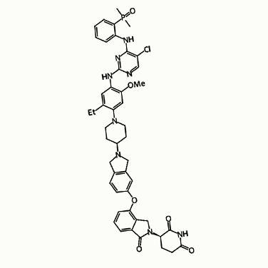 CCc1cc(Nc2ncc(Cl)c(Nc3ccccc3P(C)(C)=O)n2)c(OC)cc1N1CCC(N2Cc3ccc(Oc4cccc5c4CN([C@@H]4CCC(=O)NC4=O)C5=O)cc3C2)CC1